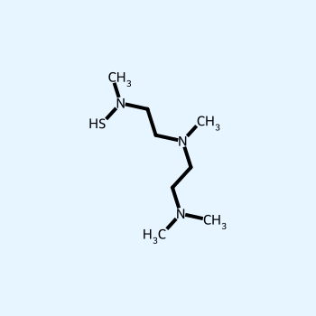 CN(C)CCN(C)CCN(C)S